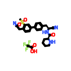 CS(=O)(=O)c1cc(-c2ccc(C[C@@H](C#N)NC(=O)[C@@H]3CCCCN3)cc2)ccc1CC#N.O=C(O)C(F)(F)F